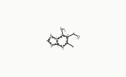 Cc1nc2ncnn2c(N)c1CCl